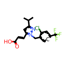 CC(C)c1cc(C=CC(=O)O)n(Cc2ccc(C(F)(F)F)cc2Cl)n1